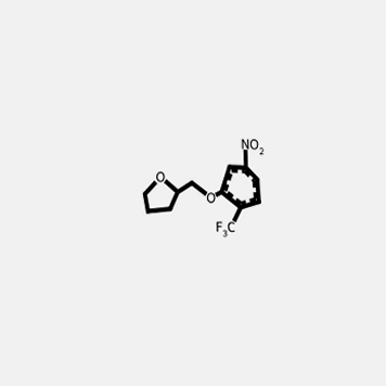 O=[N+]([O-])c1ccc(C(F)(F)F)c(OCC2CCCO2)c1